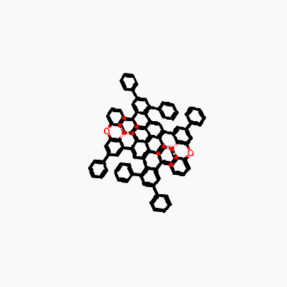 c1ccc(-c2cc3c4c(c2)-c2cc(-c5c(-c6ccccc6)cc(-c6ccccc6)cc5-c5ccccc5)c5cc6c7c(cc(-c8c(-c9ccccc9)cc(-c9ccccc9)cc8-c8ccccc8)c8cc(c2c5c87)B4c2ccccc2O3)-c2cc(-c3ccccc3)cc3c2B6c2ccccc2O3)cc1